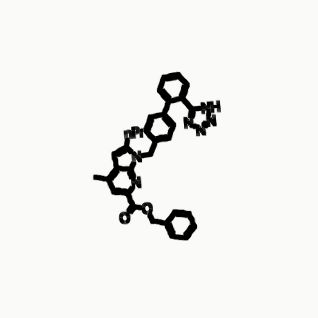 CCCc1cc2c(C)cc(C(=O)OCc3ccccc3)nc2n1Cc1ccc(-c2ccccc2-c2nnn[nH]2)cc1